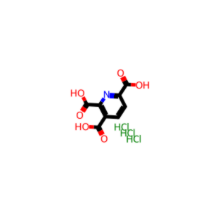 Cl.Cl.Cl.O=C(O)c1ccc(C(=O)O)c(C(=O)O)n1